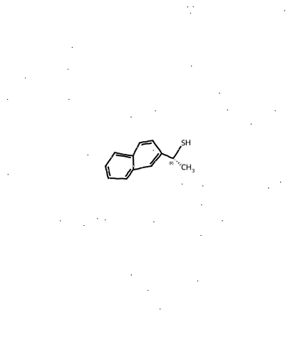 C[C@@H](S)c1ccc2ccccc2c1